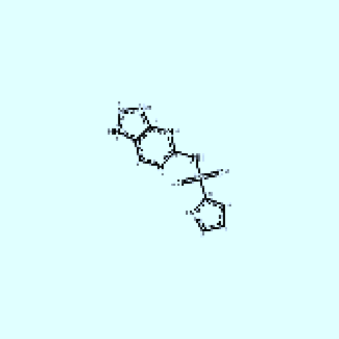 O=S(=O)(Nc1ncc2[nH]nnc2n1)c1cccs1